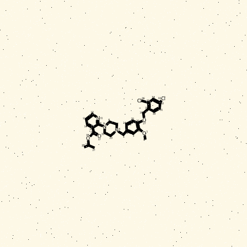 COc1cc(CN2CCN(c3ncccc3C(=O)OC(C)C)CC2)ccc1OCc1ccc(Cl)cc1Cl